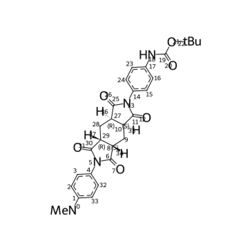 CNc1ccc(N2C(=O)[C@H]3C[C@@H]4C(=O)N(c5ccc(NC(=O)OC(C)(C)C)cc5)C(=O)[C@@H]4C[C@H]3C2=O)cc1